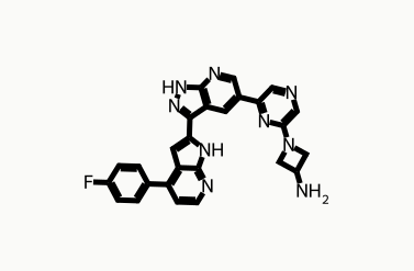 NC1CN(c2cncc(-c3cnc4[nH]nc(-c5cc6c(-c7ccc(F)cc7)ccnc6[nH]5)c4c3)n2)C1